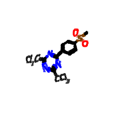 CS(=O)(=O)c1ccc(-c2nc(C(Cl)(Cl)Cl)nc(C(Cl)(Cl)Cl)n2)cc1